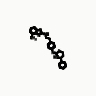 Cc1cccc2sc(NCCc3ccc(/N=C4/NC(c5ccccc5)CCS4)cc3)nc12